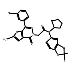 Cc1cc2c(=O)n(CC(=O)N(c3ccc4c(c3)OC(F)(F)O4)C3CCCC3)nc(-c3cccc(Cl)c3)c2o1